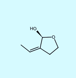 CC=C1CCO[C@@H]1O